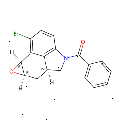 O=C(c1ccccc1)N1C[C@H]2C[C@H]3O[C@H]3c3c(Br)ccc1c32